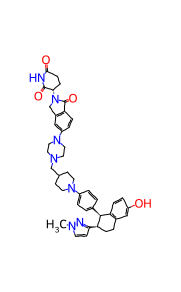 Cn1ccc([C@@H]2CCc3cc(O)ccc3[C@@H]2c2ccc(N3CCC(CN4CCN(c5ccc6c(c5)CN([C@H]5CCC(=O)NC5=O)C6=O)CC4)CC3)cc2)n1